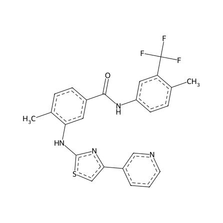 Cc1ccc(C(=O)Nc2ccc(C)c(C(F)(F)F)c2)cc1Nc1nc(-c2cccnc2)cs1